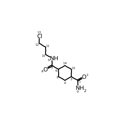 NC(=O)C1CCC(C(=O)NCCCCl)CC1